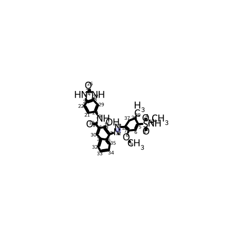 CNS(=O)(=O)C1=CC(OC)=C(/N=N/c2c(O)c(C(=O)Nc3ccc4[nH]c(=O)[nH]c4c3)cc3ccccc23)CC1C